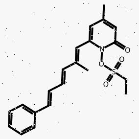 CCS(=O)(=O)On1c(/C=C(C)/C=C/C=C/c2ccccc2)cc(C)cc1=O